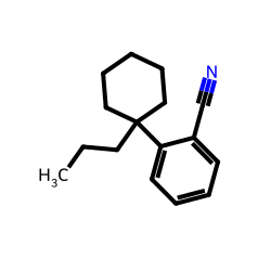 CCCC1(c2ccccc2C#N)CCCCC1